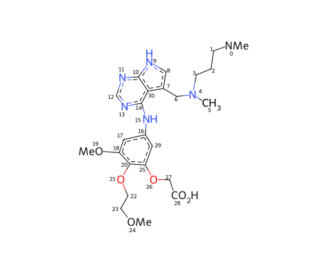 CNCCCN(C)Cc1c[nH]c2ncnc(Nc3cc(OC)c(OCCOC)c(OCC(=O)O)c3)c12